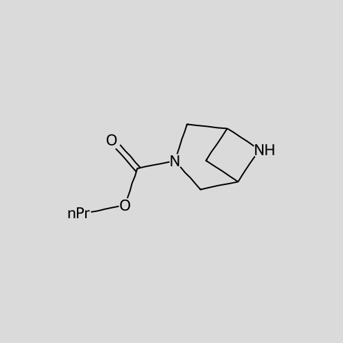 CCCOC(=O)N1CC2CC(C1)N2